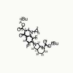 CC[C@H](C)COC(=O)c1cn(C2CC2)c2c(F)c(N3CC4CCCN(C(=O)OC(C)(C)C)C4C3)c(F)cc2c1=O